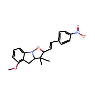 COc1cccc2c1CC1N2OC(C=Cc2ccc([N+](=O)[O-])cc2)C1(C)C